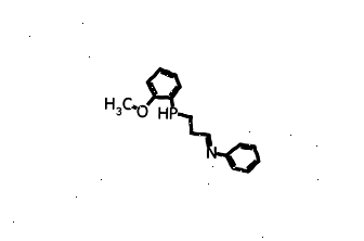 COc1ccccc1PCCC=Nc1ccccc1